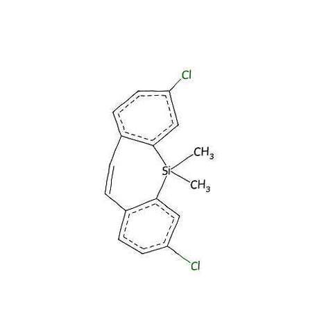 C[Si]1(C)c2cc(Cl)ccc2C=Cc2ccc(Cl)cc21